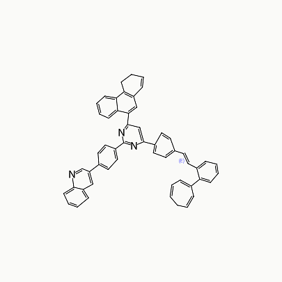 C1=CCC=CC(c2ccccc2/C=C/c2ccc(-c3cc(-c4cc5c(c6ccccc46)CCC=C5)nc(-c4ccc(-c5cnc6ccccc6c5)cc4)n3)cc2)=C1